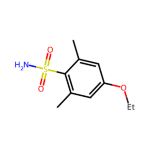 CCOc1cc(C)c(S(N)(=O)=O)c(C)c1